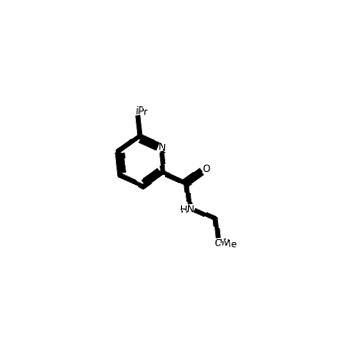 COCNC(=O)c1cccc(C(C)C)n1